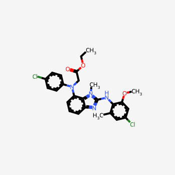 CCOC(=O)CN(c1ccc(Cl)cc1)c1cccc2nc(Nc3c(C)cc(Cl)cc3OC)n(C)c12